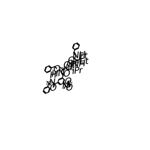 CCC(CC)[C@H](NC(=O)[C@@H](C[C@H](O)[C@H](COCc1ccccc1)NC(=O)c1cc(C(=O)N[C@H](C)c2ccccc2)cc(N(C)S(C)(=O)=O)c1)C(C)C)C(=O)NCc1ccccc1